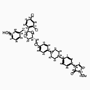 CCC(C)n1ncn(-c2ccc(N3CCN(c4ccc(OC[C@@H]5CO[C@@](Cc6ccc[n+](O)c6)(c6ccc(Cl)cc6Cl)O5)cc4)CC3)cc2)c1=O